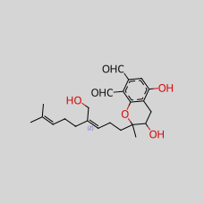 CC(C)=CCC/C(=C/CCC1(C)Oc2c(C=O)c(C=O)cc(O)c2CC1O)CO